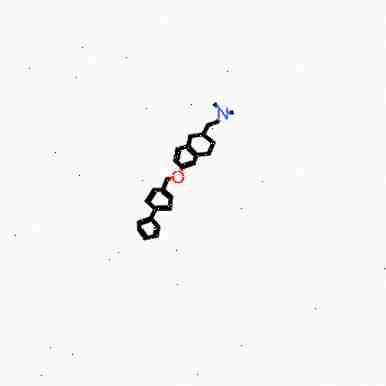 CN(C)CCC1CCc2cc(OCc3ccc(-c4ccccc4)cc3)ccc2C1